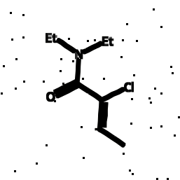 C/[C]=C(\Cl)C(=O)N(CC)CC